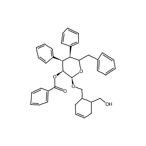 O=C(O[C@@H]1[C@H](OCC2CC=CCC2CO)OC(Cc2ccccc2)[C@H](c2ccccc2)[C@@H]1c1ccccc1)c1ccccc1